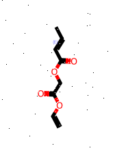 C=COC(=O)COC(=O)/C=C/C